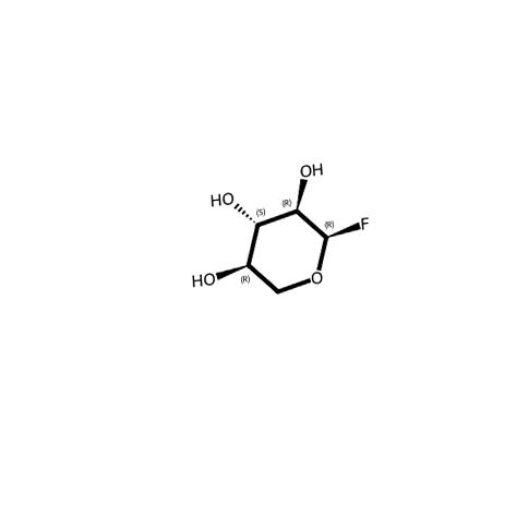 O[C@@H]1[C@@H](O)[C@@H](F)OC[C@H]1O